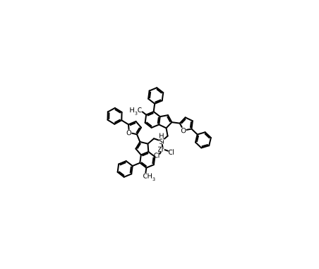 Cc1ccc2c(c1-c1ccccc1)C=C(c1ccc(-c3ccccc3)o1)C2C[SiH](CC1C(c2ccc(-c3ccccc3)o2)=Cc2c1ccc(C)c2-c1ccccc1)[Zr]([Cl])[Cl]